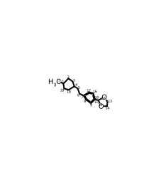 CC1CCC(CCc2ccc(C3OCCO3)cc2)CC1